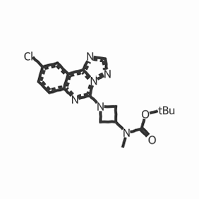 CN(C(=O)OC(C)(C)C)C1CN(c2nc3ccc(Cl)cc3c3ncnn23)C1